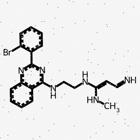 CN/C(=C\C=N)NCCNc1nc(-c2ccccc2Br)nc2ccccc12